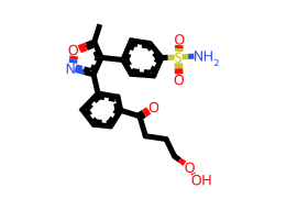 Cc1onc(-c2cccc(C(=O)CCCOO)c2)c1-c1ccc(S(N)(=O)=O)cc1